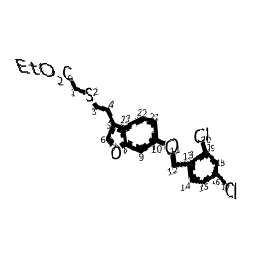 CCOC(=O)CSCCc1coc2cc(OCc3ccc(Cl)cc3Cl)ccc12